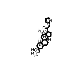 CC[C@@]1(O)CC[C@H]2C(=CC[C@@H]3[C@@H]2CC[C@]2(C)[C@@H](C(=O)Cn4cccn4)CC[C@@H]32)C1